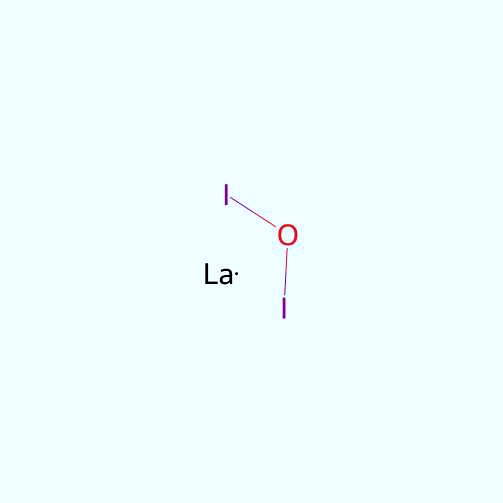 IOI.[La]